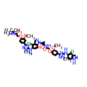 COc1cc(-c2nc(Nc3ccc4c(cnn4C4CC4(O)NC(=O)COC4=CC=C(c5nc(Nc6ccc7[nH]ncc7c6Cl)n(C)n5)CC4OC)c3Cl)n(C)n2)ccc1OCC(=O)NC(C)(C)C